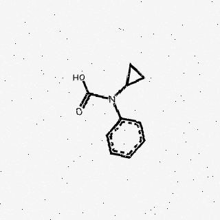 O=C(O)N(c1ccccc1)C1CC1